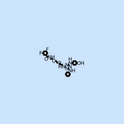 O=C(NCCOCCOCCNc1nc(Nc2ccccc2)nc(Nc2ccc(O)cc2)n1)c1cc(F)cc(F)c1